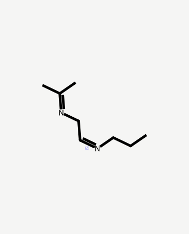 CCC/N=C\CN=C(C)C